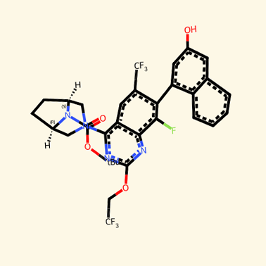 CC(C)(C)OC(=O)N1[C@@H]2CC[C@H]1CN(c1nc(OCC(F)(F)F)nc3c(F)c(-c4cc(O)cc5ccccc45)c(C(F)(F)F)cc13)C2